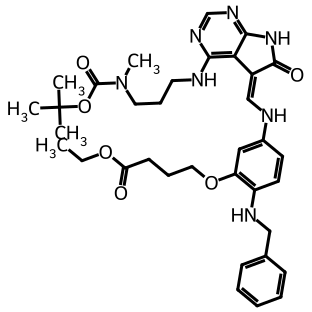 CCOC(=O)CCCOc1cc(N/C=C2\C(=O)Nc3ncnc(NCCCN(C)C(=O)OC(C)(C)C)c32)ccc1NCc1ccccc1